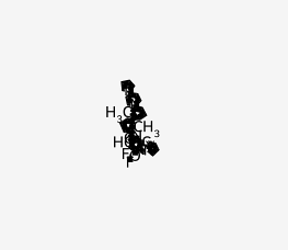 Cc1c(-c2nc3cc(CN4CCC[C@H]4C(=O)O)c(OC(F)F)cc3o2)cccc1-c1cccc(N2CCC(N3CCCC3)CC2)c1C